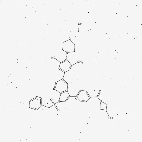 Cc1cc(-c2cnc3c(c2)c(-c2ccc(C(=O)N4CC(O)C4)cc2)cn3S(=O)(=O)Cc2ccccc2)cc(C#N)c1N1CCN(CCO)CC1